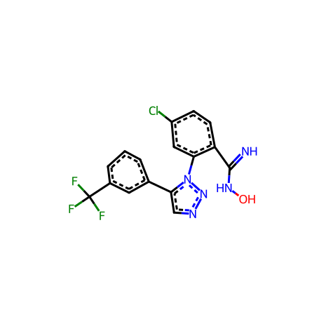 N=C(NO)c1ccc(Cl)cc1-n1nncc1-c1cccc(C(F)(F)F)c1